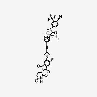 CC(C)(C(=O)Nc1ccc(C#N)c(C(F)(F)F)c1)n1cc(C#CC2CN(c3cc4c(cc3F)C(=O)N(C3CCC(=O)NC3=O)C4=O)C2)cn1